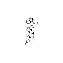 CC(C)n1cc(C(=O)c2cccc(NC(=O)Nc3ccc(F)cc3F)n2)c2c(N)ncnc21